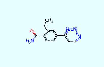 CCc1cc(-c2ccnnn2)ccc1C(N)=O